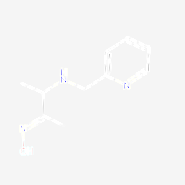 C/C(=N\O)C(C)NCc1ccccn1